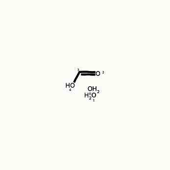 O.O.O=CO